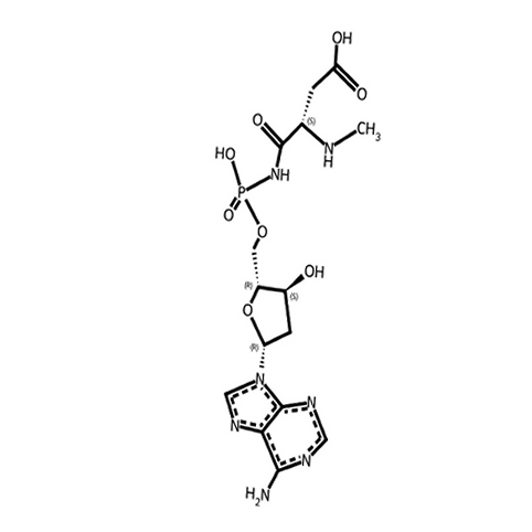 CN[C@@H](CC(=O)O)C(=O)NP(=O)(O)OC[C@H]1O[C@@H](n2cnc3c(N)ncnc32)C[C@@H]1O